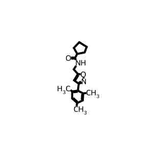 Cc1cc(C)c(-c2cc(CNC(=O)C3CCCC3)on2)c(C)c1